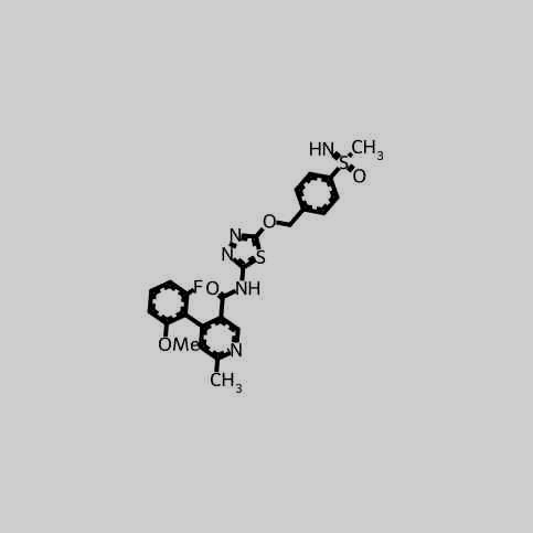 COc1cccc(F)c1-c1cc(C)ncc1C(=O)Nc1nnc(OCc2ccc(S(C)(=N)=O)cc2)s1